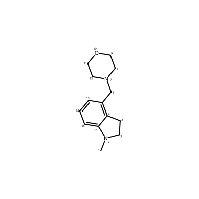 CN1CCc2c(CN3CCOCC3)cccc21